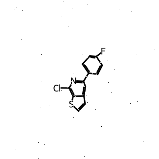 Fc1ccc(-c2cc3ccsc3c(Cl)n2)cc1